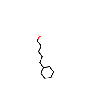 [O]CCCCCC1CCCCC1